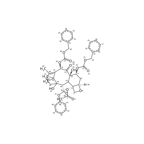 CC(=O)O[C@@]12CO[C@@H]1C[C@H](OC(=O)OCc1ccccc1)[C@@]1(C)C(=O)[C@H](OC(=O)OCc3ccccc3)C3=C(C)CCC(O)([C@@H](C(=O)Oc4ccccc4)C12)C3(C)C